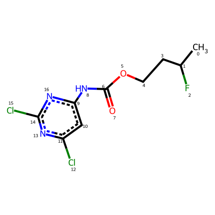 CC(F)CCOC(=O)Nc1cc(Cl)nc(Cl)n1